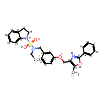 CCOC(=O)CN(Cc1cccc(OCc2nc(-c3ccccc3)oc2C)c1)S(=O)(=O)N1CCc2ccccc21